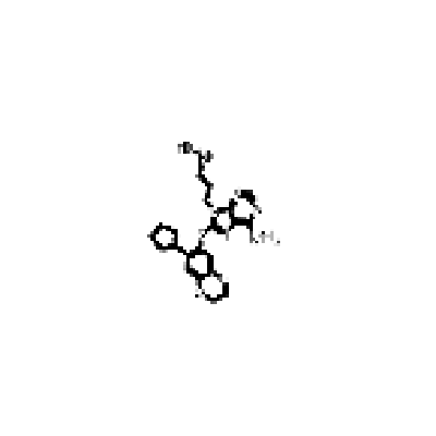 CC(C)(C)NCCCn1c(Sc2cc3c(cc2C2CCCC2)OCCO3)nc2c(N)ncnc21